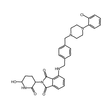 O=C1NC(O)CCC1N1C(=O)c2cccc(NCc3ccc(CN4CCN(c5ccccc5Cl)CC4)cc3)c2C1=O